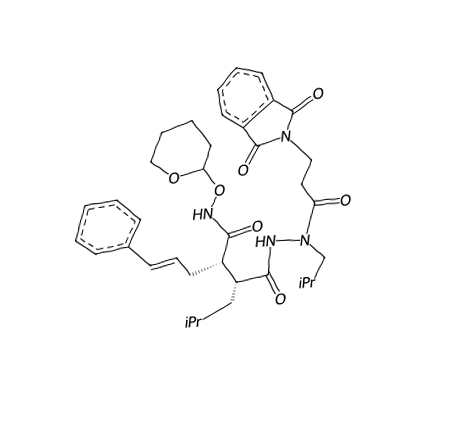 CC(C)C[C@@H](C(=O)NN(CC(C)C)C(=O)CCN1C(=O)c2ccccc2C1=O)[C@H](CC=Cc1ccccc1)C(=O)NOC1CCCCO1